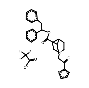 O=C(C[N+]12CCC(CC1)C(C(=O)OC(Cc1ccccc1)c1ccccc1)C2)c1cccs1.O=C([O-])C(F)(F)F